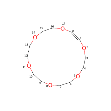 C1=C\OCCOCCOCCOCCOCCO/1